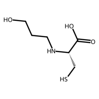 O=C(O)[C@H](CS)NCCCO